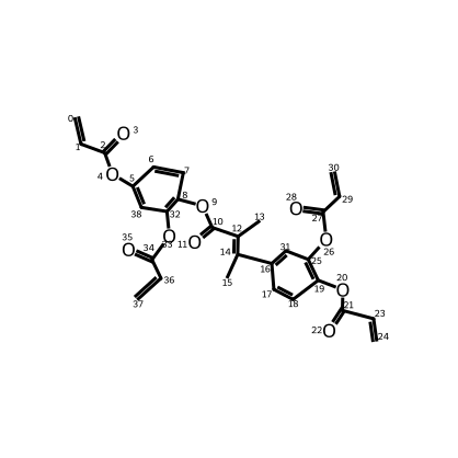 C=CC(=O)Oc1ccc(OC(=O)/C(C)=C(\C)c2ccc(OC(=O)C=C)c(OC(=O)C=C)c2)c(OC(=O)C=C)c1